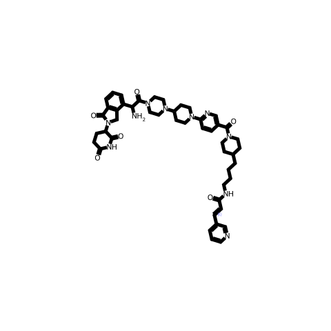 NC(C(=O)N1CCN(C2CCN(c3ccc(C(=O)N4CCC(CCCCNC(=O)/C=C/c5cccnc5)CC4)cn3)CC2)CC1)c1cccc2c1CN(C1CCC(=O)NC1=O)C2=O